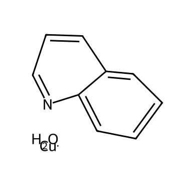 O.[Cu].c1ccc2ncccc2c1